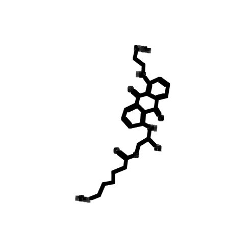 CCCCCCCCCCCCCCCC(=O)OCC(CC)Nc1cccc2c1C(=O)c1cccc(NCCNC(C)=O)c1C2=O